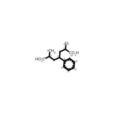 CCC(CC(CC(C)C(=O)O)c1ccccc1)C(=O)O